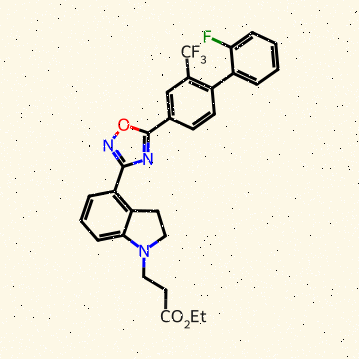 CCOC(=O)CCN1CCc2c(-c3noc(-c4ccc(-c5ccccc5F)c(C(F)(F)F)c4)n3)cccc21